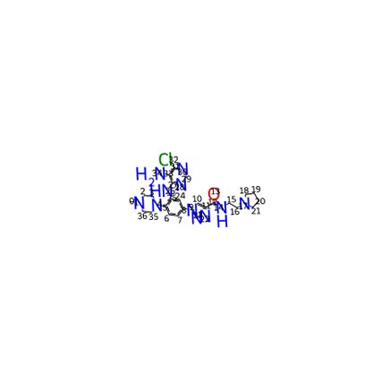 CN1CCN(c2ccc(-n3cc(C(=O)NCCN4CCCC4)nn3)cc2Nc2ncnc(Cl)c2N)CC1